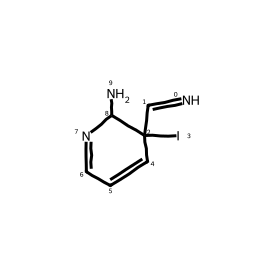 N=CC1(I)C=CC=NC1N